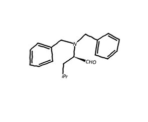 CC(C)C[C@H](C=O)N(Cc1ccccc1)Cc1ccccc1